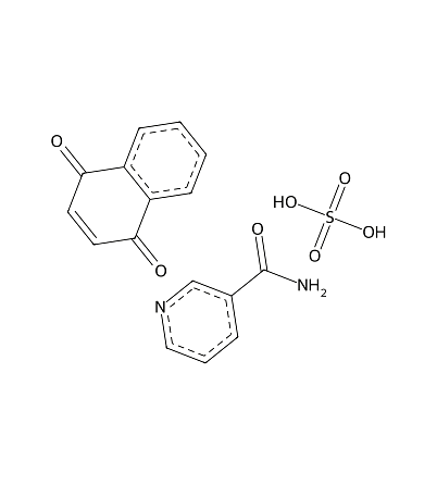 NC(=O)c1cccnc1.O=C1C=CC(=O)c2ccccc21.O=S(=O)(O)O